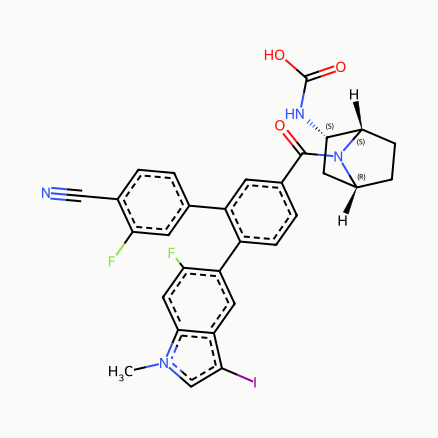 Cn1cc(I)c2cc(-c3ccc(C(=O)N4[C@@H]5CC[C@H]4[C@@H](NC(=O)O)C5)cc3-c3ccc(C#N)c(F)c3)c(F)cc21